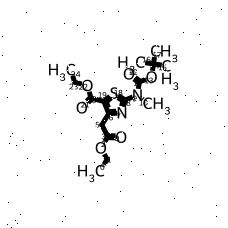 CCOC(=O)Cc1nc(N(C)C(=O)OC(C)(C)C)sc1C(=O)OCC